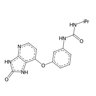 CC(C)NC(=O)Nc1cccc(Oc2ccnc3[nH]c(=O)[nH]c23)c1